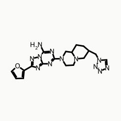 Nc1nc(N2CCN3CC(Cn4cnnn4)CCC3C2)nc2nc(-c3ccco3)nn12